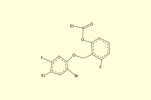 CCC(=O)Oc1cccc(F)c1COc1cc(F)c(CC)cc1Br